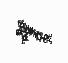 CC(O)C1CCN(CCn2cc3c(-c4ccc(F)cc4)c(-c4ccncc4)c(-c4ccc(F)cc4)nc3n2)CC1